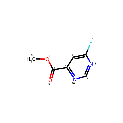 COC(=O)c1cc(F)ncn1